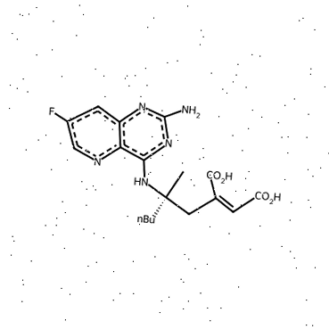 CCCC[C@](C)(C/C(=C/C(=O)O)C(=O)O)Nc1nc(N)nc2cc(F)cnc12